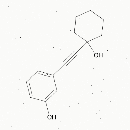 Oc1cccc(C#CC2(O)CCCCC2)c1